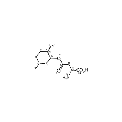 CC1CC[C@@H](C(C)C)C(OC(=O)C[C@H](N)C(=O)O)C1